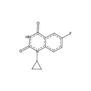 O=c1[nH]c(=O)n(C2CC2)c2ccc(F)cc12